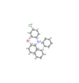 Clc1ccc(N(c2ccccc2)c2c(Br)ccc3ccccc23)cc1